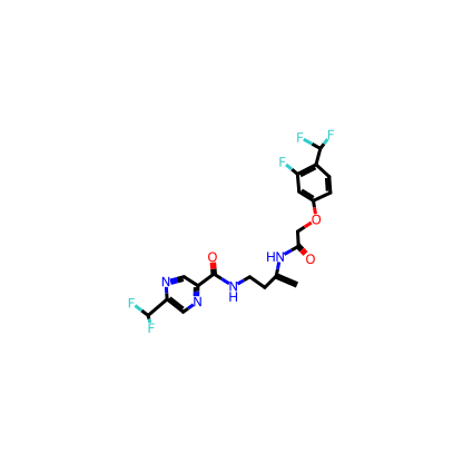 C=C(CCNC(=O)c1cnc(C(F)F)cn1)NC(=O)COc1ccc(C(F)F)c(F)c1